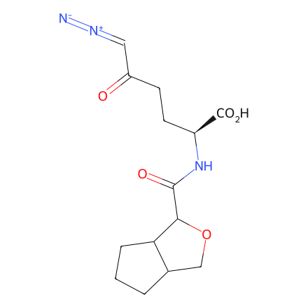 [N-]=[N+]=CC(=O)CC[C@H](NC(=O)C1OCC2CCCC21)C(=O)O